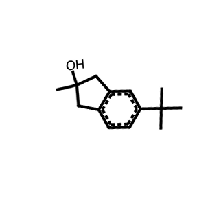 CC1(O)Cc2ccc(C(C)(C)C)cc2C1